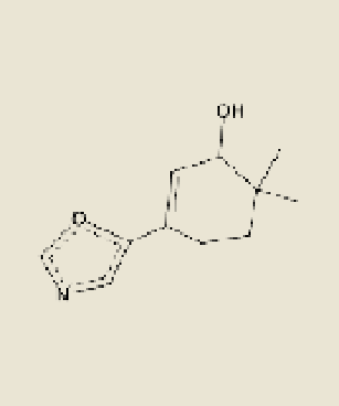 CC1(C)CCC(c2cnco2)=CC1O